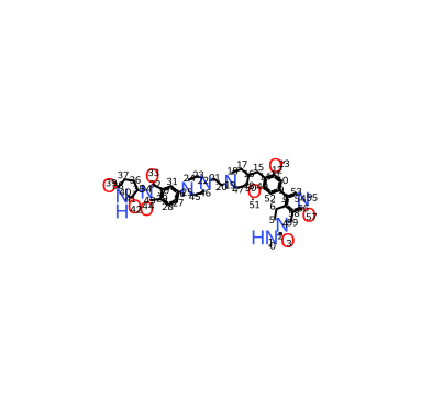 CNC(=O)N1CCc2c(-c3cc(OC)c(CC4CCN(CCN5CCN(c6ccc7c(c6)C(=O)N(C6CCC(=O)NC6=O)C7=O)CC5)CC4)c(OC)c3)cn(C)c(=O)c2C1